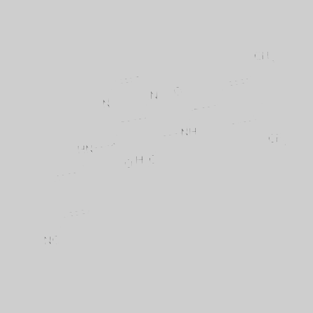 Cc1cc(C(=O)NC(C)c2nccnc2C(=O)Nc2ccc(C#N)cc2)cc(C(F)(F)F)c1